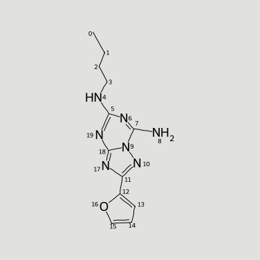 CCCCNc1nc(N)n2nc(-c3ccco3)nc2n1